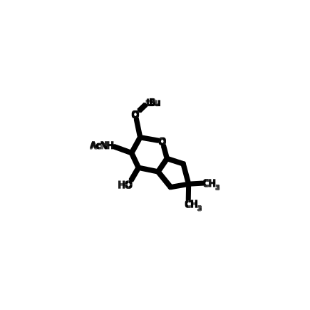 CC(=O)NC1C(OC(C)(C)C)OC2CC(C)(C)CC2C1O